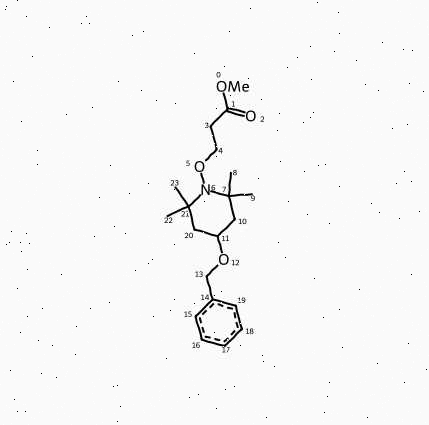 COC(=O)CCON1C(C)(C)CC(OCc2ccccc2)CC1(C)C